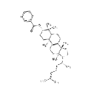 CC(C)=CCC[C@@H](C)[C@H]1CC[C@@]2(C)C3=C(CC[C@]12C)[C@@]1(C)CC[C@H](OC(=O)c2cccnc2)C(C)(C)C1CC3